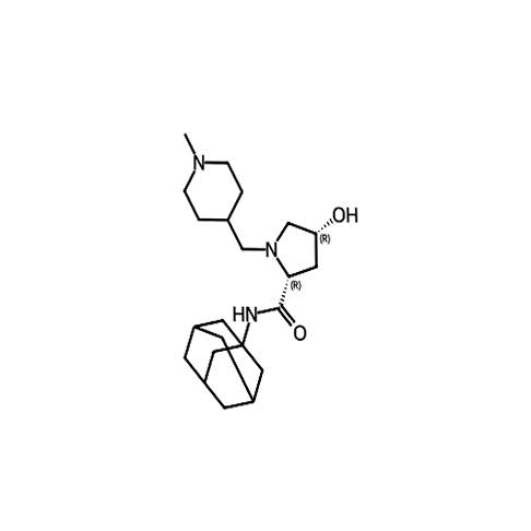 CN1CCC(CN2C[C@H](O)C[C@@H]2C(=O)NC23CC4CC(CC(C4)C2)C3)CC1